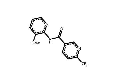 COc1nccnc1NC(=O)c1ccc(C(F)(F)F)nc1